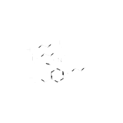 C=CC#N.C=CC=C.C=CC=C.C=CC=C.C=Cc1ccccc1